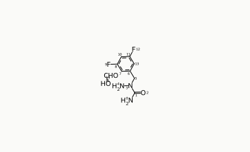 NC(=O)N(N)Cc1cc(F)cc(F)c1.O=CO